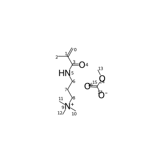 C=C(C)C(=O)NCCC[N+](C)(C)C.COC(=O)[O-]